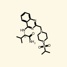 CC(C)[C@H](Nc1nc(CN2CCN(S(=O)(=O)C(C)C)CC2)nc2ccccc12)C(N)=O